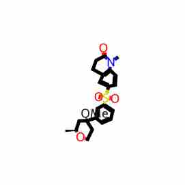 CO[C@]1(c2cccc(S(=O)(=O)c3ccc4c(c3)CCC(=O)N4C)c2)CCO[C@@H](C)C1